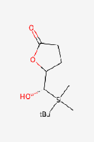 CC(C)(C)[Si](C)(C)[C@H](O)C1CCC(=O)O1